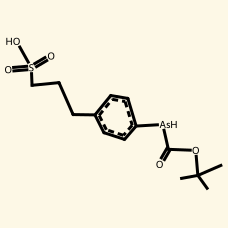 CC(C)(C)OC(=O)[AsH]c1ccc(CCCS(=O)(=O)O)cc1